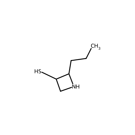 CCCC1NCC1S